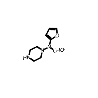 O=[C]N(c1ccco1)N1CCNCC1